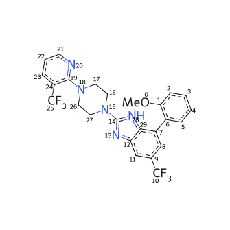 COc1ccccc1-c1cc(C(F)(F)F)cc2nc(N3CCN(c4ncccc4C(F)(F)F)CC3)[nH]c12